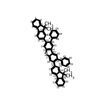 CC1(C)c2ccccc2-c2ccc(-c3cc4sc5cc(-c6ccc7c(c6)C(C)(C)c6ccccc6-7)c(-c6ccccc6)cc5c4cc3-c3ccccc3)cc21